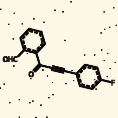 O=Cc1ccccc1C(=O)C#Cc1ccc(F)cc1